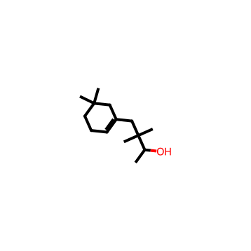 CC(O)C(C)(C)CC1=CCCC(C)(C)C1